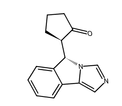 O=C1CCC[C@@H]1[C@H]1c2ccccc2-c2cncn21